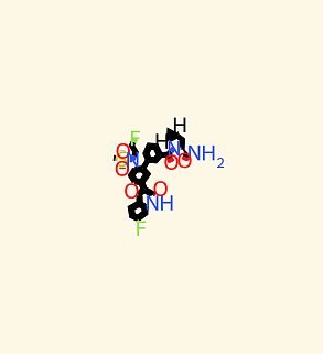 CS(=O)(=O)N(CCF)c1cc2oc3c4ccc(F)cc4[nH]c(=O)c3c2cc1-c1cccc(C(=O)N2[C@H](C(N)=O)C[C@@H]3C[C@@H]32)c1